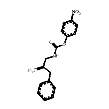 C=C(CNC(=O)Oc1ccc([N+](=O)[O-])cc1)Cc1ccccc1